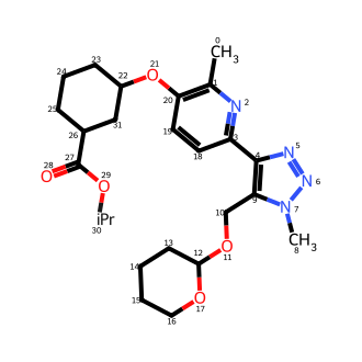 Cc1nc(-c2nnn(C)c2COC2CCCCO2)ccc1OC1CCCC(C(=O)OC(C)C)C1